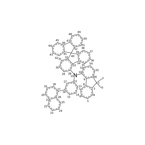 CC1(C)c2ccccc2-c2c(N(c3cccc(-c4cccc5ccccc45)c3)c3cccc4c3-c3ccccc3C43c4ccccc4-c4ccccc43)cccc21